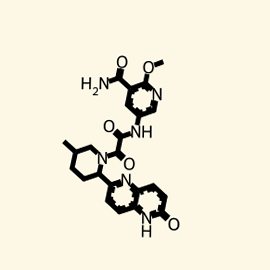 COc1ncc(NC(=O)C(=O)N2CC(C)CCC2c2ccc3[nH]c(=O)ccc3n2)cc1C(N)=O